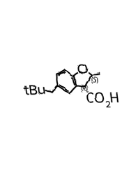 C[C@@H]1Oc2ccc(CC(C)(C)C)cc2[C@H]1C(=O)O